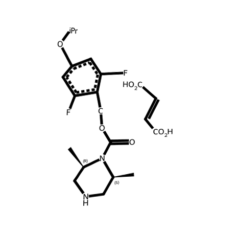 CC(C)Oc1cc(F)c(COC(=O)N2[C@H](C)CNC[C@@H]2C)c(F)c1.O=C(O)C=CC(=O)O